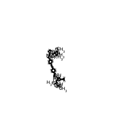 COC(=O)NC(C(=O)N1CC(C2CC2)=CC1c1ncc(-c2ccc(C#Cc3ccc(-c4cnc(C5CCCN5C(=O)C(NC(=O)OC)C(C)C)[nH]4)cc3)cc2)[nH]1)C(C)C